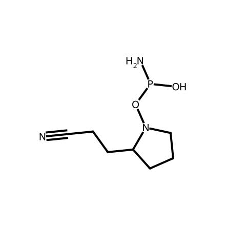 N#CCCC1CCCN1OP(N)O